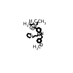 COc1cccc(Cc2nc3ccc(C(=O)N(CC(C)C)CC(C)C)cc3n2CCCN2CCCCC2)c1